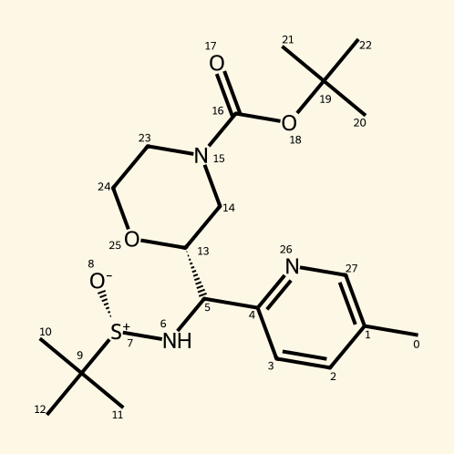 Cc1ccc(C(N[S@@+]([O-])C(C)(C)C)[C@H]2CN(C(=O)OC(C)(C)C)CCO2)nc1